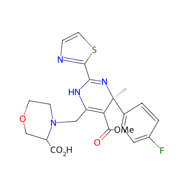 COC(=O)C1=C(CN2CCOCC2C(=O)O)NC(c2nccs2)=N[C@@]1(C)c1ccc(F)cc1